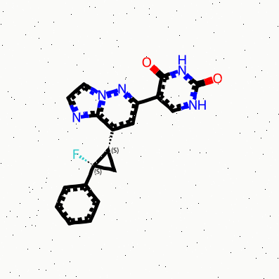 O=c1[nH]cc(-c2cc([C@@H]3C[C@@]3(F)c3ccccc3)c3nccn3n2)c(=O)[nH]1